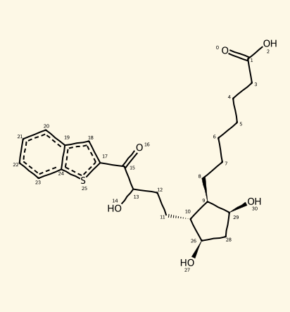 O=C(O)CCCCCC[C@@H]1[C@@H](CCC(O)C(=O)c2cc3ccccc3s2)[C@H](O)C[C@@H]1O